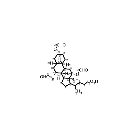 C[C@H](CCC(=O)O)C1CC[C@H]2[C@H]3[C@H](C[C@H](OC=O)[C@]12C)[C@H]1CC[C@@H](OC=O)C[C@H]1C[C@H]3OC=O